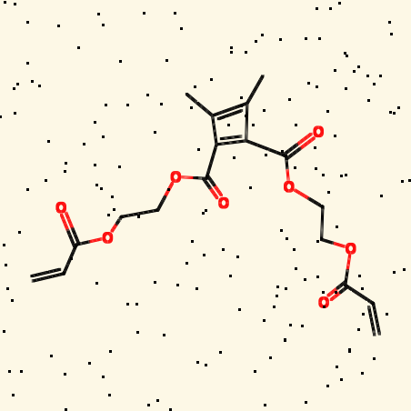 C=CC(=O)OCCOC(=O)C1=C(C(=O)OCCOC(=O)C=C)C(C)=C1C